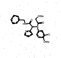 COCC(=O)N(c1ccc(OC)c(Cl)c1)C(C(=O)NCc1ccccc1)c1cccs1